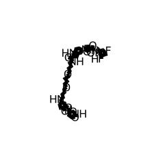 O=C(NCCCCOCCCCOCCCCNc1ccc2c(c1)ON(C1CCONO1)O2)c1cc2cc(N3CC[C@@](O)(C(=O)NCc4cc(F)cc(F)c4)O3)ccc2[nH]1